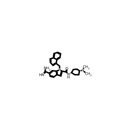 CN(C)[C@H]1CC[C@H](NC(=O)c2cc3ccc(C(=N)N)cc3n2Cc2cccc3ccccc23)CC1